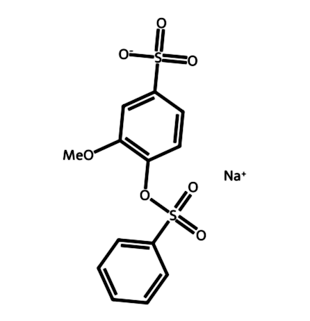 COc1cc(S(=O)(=O)[O-])ccc1OS(=O)(=O)c1ccccc1.[Na+]